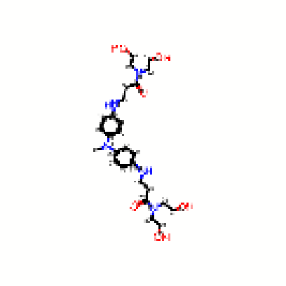 CN(c1ccc(NCCC(=O)N(CCO)CCO)cc1)c1ccc(NCCC(=O)N(CCO)CCO)cc1